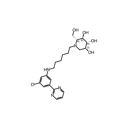 OC[C@@H]1[C@@H](O)[C@H](O)[C@@H](O)CN1CCCCCCNc1cc(Cl)cc(-c2ncccn2)c1